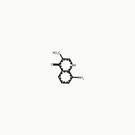 Nc1cccc2c(=O)c(C(=O)O)c[nH]c12